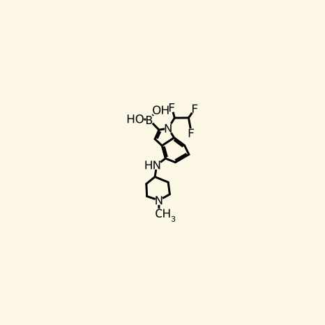 CN1CCC(Nc2cccc3c2cc(B(O)O)n3C(F)C(F)F)CC1